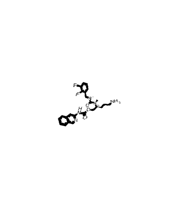 CN(C(=O)NCc1cccc(F)c1F)[C@@H](CCCN)COC(=O)Nc1cc2ccccc2cn1